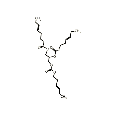 CCC=CCCOC(=O)OCC(COC(=O)OCCC=CCC)OC(=O)OCCC=CCC